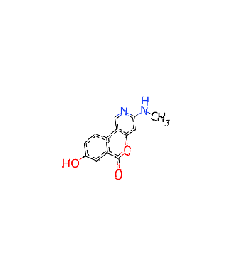 CNc1cc2oc(=O)c3cc(O)ccc3c2cn1